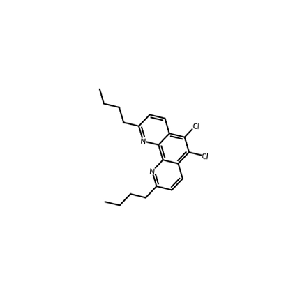 CCCCc1ccc2c(Cl)c(Cl)c3ccc(CCCC)nc3c2n1